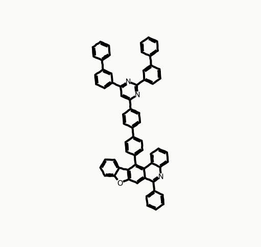 c1ccc(-c2cccc(-c3cc(-c4ccc(-c5ccc(-c6c7c(cc8c(-c9ccccc9)nc9ccccc9c68)oc6ccccc67)cc5)cc4)nc(-c4cccc(-c5ccccc5)c4)n3)c2)cc1